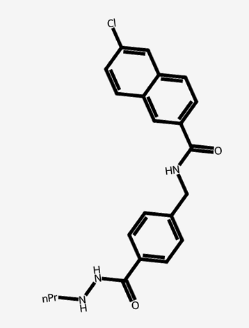 CCCNNC(=O)c1ccc(CNC(=O)c2ccc3cc(Cl)ccc3c2)cc1